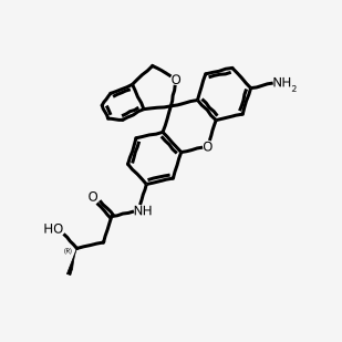 C[C@@H](O)CC(=O)Nc1ccc2c(c1)Oc1cc(N)ccc1C21OCc2ccccc21